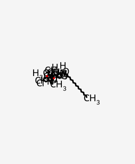 CCCCCCCCCCCCCCCCS(=O)(=O)Nc1cccc(NC(=O)C(OC)(C(=O)C(C)(C)C)n2c3c(n(CC)c2=O)CC(Cl)(Cl)C=C3)c1